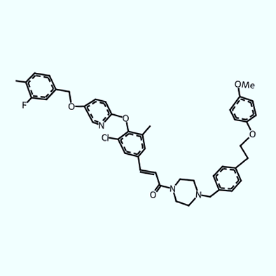 COc1ccc(OCCc2ccc(CN3CCN(C(=O)/C=C/c4cc(C)c(Oc5ccc(OCc6ccc(C)c(F)c6)cn5)c(Cl)c4)CC3)cc2)cc1